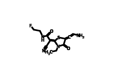 CCn1c(=O)c(=C=CN)s/c1=C(/C#N)C(=O)NCCF